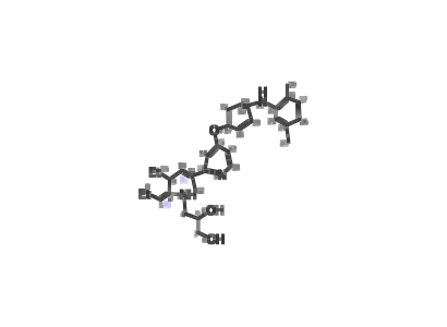 CC/C=C(/NCC(O)CO)C(/C=C(\C)c1cc(Oc2ccc(Nc3cc(C)ccc3C)cc2)ccn1)CC